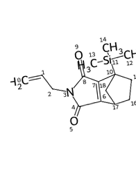 C=CCN1C(=O)C2=C(C1=O)C1([Si](C)(C)C)CCC2C1